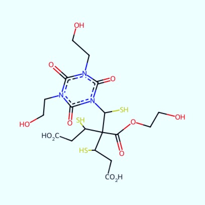 O=C(O)CC(S)C(C(=O)OCCO)(C(S)CC(=O)O)C(S)n1c(=O)n(CCO)c(=O)n(CCO)c1=O